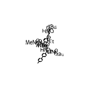 CCc1cc([C@@H](C(=O)N[C@@H](C)C(=O)NC)N(C)C(=O)[C@H](CCCNC(=O)OC(C)(C)C)NC(=O)c2ccc(-c3ccc(C)cc3)cc2)ccc1OCCNC(=O)OC(C)(C)C